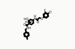 Cc1ccc(CNC(=O)C23CCC(NC(=O)COc4ccc(Cl)c(F)c4)(CC2)C[C@@H]3O)cc1